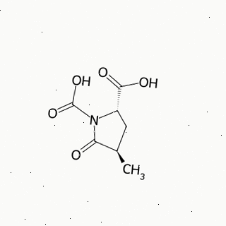 C[C@@H]1C[C@@H](C(=O)O)N(C(=O)O)C1=O